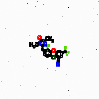 [CH2]n1nc(Cc2ccc(Cl)c(Oc3cc(C#N)cc(C(F)F)c3)c2F)n(C)c1=O